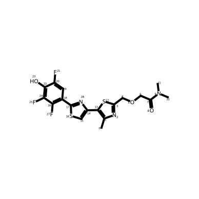 Cc1nc(COCC(=O)N(C)C)sc1-c1csc(-c2cc(F)c(O)c(F)c2F)n1